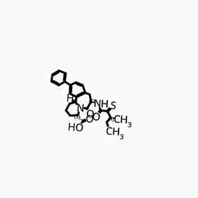 CC[C@@H](C)C(=S)C(=O)N[C@H]1Cc2ccc(-c3ccccc3)cc2[C@H]2CCC[C@@H](C(=O)O)N2C1=O